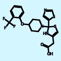 O=C(O)CC1=CSC(c2cncs2)(N2CCC(Oc3ccccc3C(F)(F)F)CC2)N1